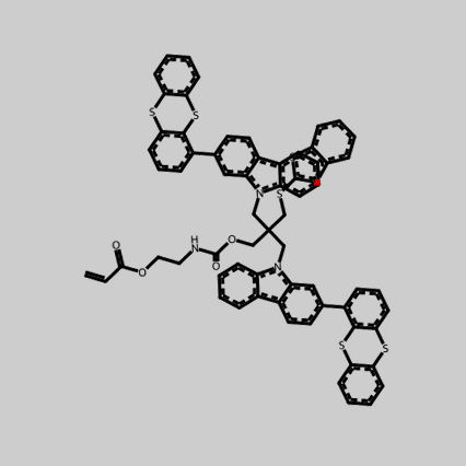 C=CC(=O)OCCNC(=O)OCC(CSc1nc2ccccc2s1)(Cn1c2ccccc2c2ccc(-c3cccc4c3Sc3ccccc3S4)cc21)Cn1c2ccccc2c2ccc(-c3cccc4c3Sc3ccccc3S4)cc21